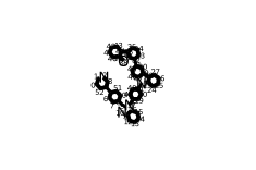 c1cncc(-c2ccc(-c3nc4ccccc4n3-c3ccc(-n4c5ccccc5c5cc(-c6cccc7c6oc6ccccc67)ccc54)cc3)cc2)c1